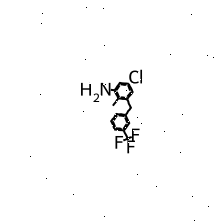 Cc1c(N)cc(Cl)cc1Cc1cccc(C(F)(F)F)c1